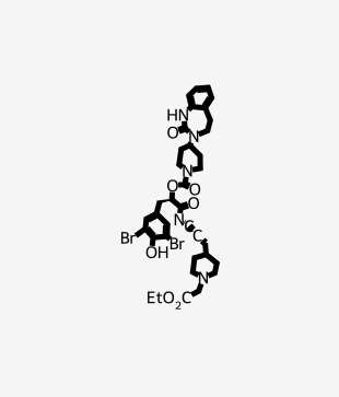 CCOC(=O)CN1CCC(C=C=C=NC(=O)[C@@H](Cc2cc(Br)c(O)c(Br)c2)OC(=O)N2CCC(N3CCc4ccccc4NC3=O)CC2)CC1